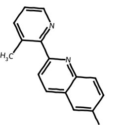 Cc1cccnc1-c1ccc2cc(F)ccc2n1